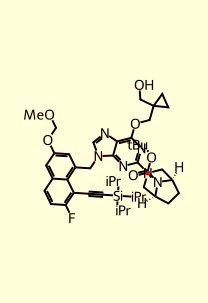 COCOc1cc(Cn2cnc3c(OCC4(CO)CC4)nc(N4C[C@H]5CC[C@@H](C4)N5C(=O)OC(C)(C)C)nc32)c2c(C#C[Si](C(C)C)(C(C)C)C(C)C)c(F)ccc2c1